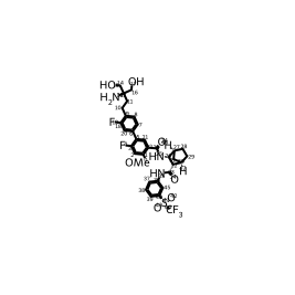 COc1cc(F)c(-c2ccc(CCC(N)(CO)CO)c(F)c2)cc1C(=O)N[C@@H]1[C@H]2CC[C@H](C2)[C@@H]1C(=O)Nc1cccc(S(=O)(=O)C(F)(F)F)c1